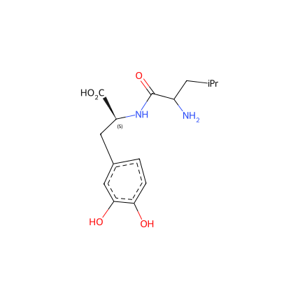 CC(C)CC(N)C(=O)N[C@@H](Cc1ccc(O)c(O)c1)C(=O)O